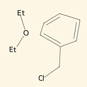 CCOCC.ClCc1ccccc1